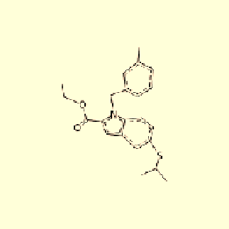 CCOC(=O)c1cc2cc(SC(C)C)ccc2n1Cc1cccc(C)c1